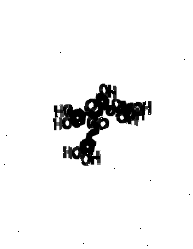 O=C(/C=C/c1ccc(O)c(O)c1)O[C@@H]1Cc2c(OC3OCC(O)(CO)C3O)cc(O)cc2O[C@@H]1c1ccc(O)c(O)c1